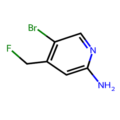 Nc1cc(CF)c(Br)cn1